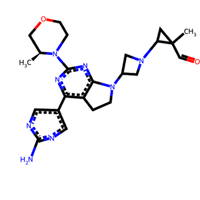 C[C@H]1COCCN1c1nc(-c2cnc(N)nc2)c2c(n1)N(C1CN(C3CC3(C)C=O)C1)CC2